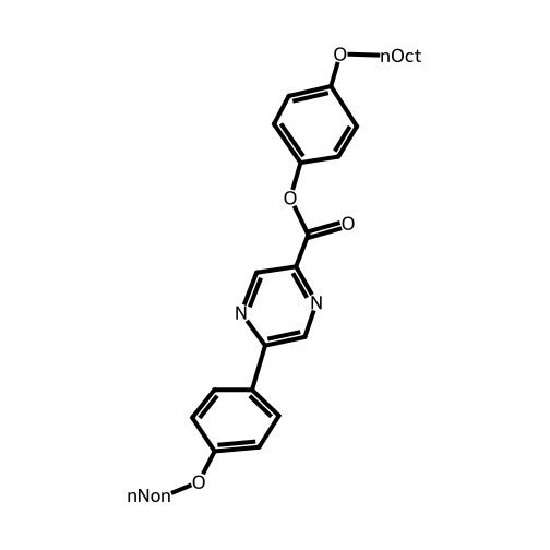 CCCCCCCCCOc1ccc(-c2cnc(C(=O)Oc3ccc(OCCCCCCCC)cc3)cn2)cc1